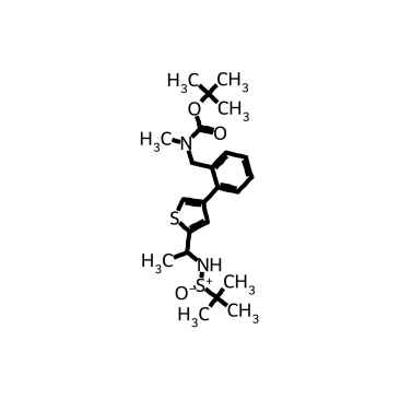 CC(N[S+]([O-])C(C)(C)C)c1cc(-c2ccccc2CN(C)C(=O)OC(C)(C)C)cs1